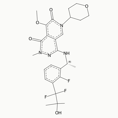 COc1c(=O)n(C2CCOCC2)cc2c(N[C@H](C)c3cccc(C(F)(F)C(C)(C)O)c3F)nn(C)c(=O)c12